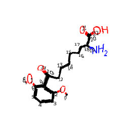 COc1cccc(OC)c1C(=O)CCCCCCC(N)C(=O)O